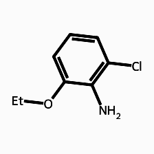 CCOc1cccc(Cl)c1N